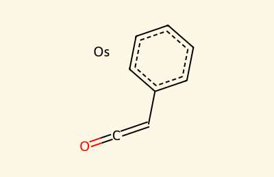 O=C=Cc1ccccc1.[Os]